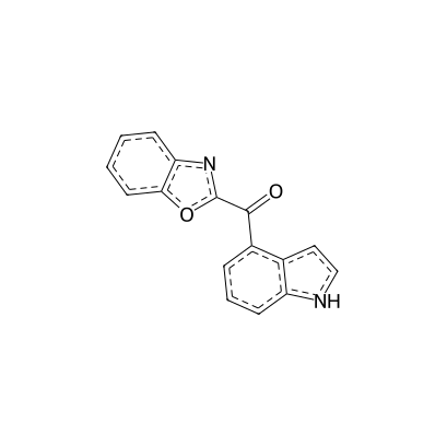 O=C(c1nc2ccccc2o1)c1cccc2[nH]ccc12